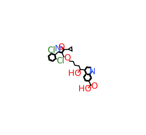 O=C(O)c1ccc2c(C(O)CCCCOCc3c(-c4c(Cl)cccc4Cl)noc3C3CC3)ccnc2c1